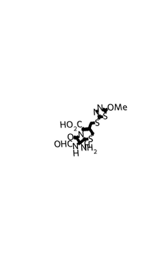 COc1nnc(SCC2=C(C(=O)O)N3C(=O)[C@](N)(NC=O)[C@@H]3SC2)s1